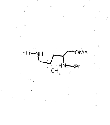 CCCNC[C@@H](C)CC(COC)NC(C)C